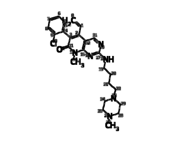 C=Cc1c(-c2ccccc2Cl)c(=O)n(C)c2nc(NCCCCN3CCN(C)CC3)ncc12